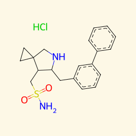 Cl.NS(=O)(=O)CC1C(Cc2cccc(-c3ccccc3)c2)NCC12CC2